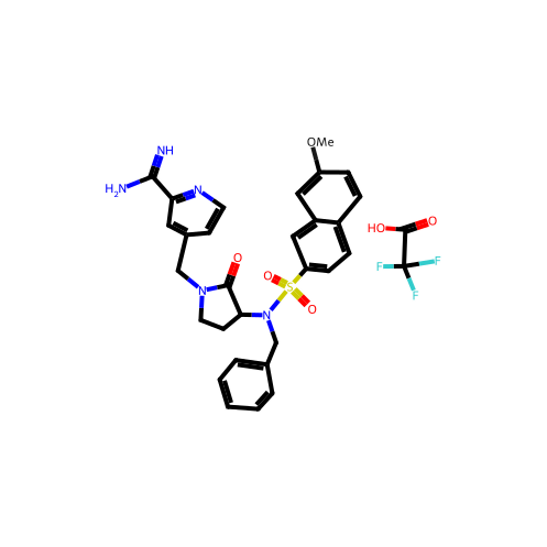 COc1ccc2ccc(S(=O)(=O)N(Cc3ccccc3)C3CCN(Cc4ccnc(C(=N)N)c4)C3=O)cc2c1.O=C(O)C(F)(F)F